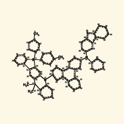 Cc1ccc([Si]2(c3ccc(C)cc3)c3ccccc3-c3cc4c(cc32)N(c2ccc3c5ccc(N(c6ccccc6)c6ccc7sc8ccccc8c7c6)cc5c5ccccc5c3c2)c2ccccc2C4(C)C)cc1